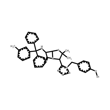 CCOc1ccc(Cn2nnnc2C2N3C(=O)C(NC(c4ccccc4)(c4ccccc4)c4cccc(C)c4)C3SC2(C)C)cc1